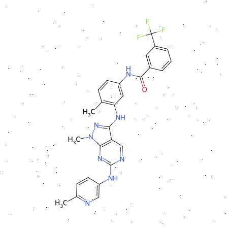 Cc1ccc(Nc2ncc3c(Nc4cc(NC(=O)c5cccc(C(F)(F)F)c5)ccc4C)nn(C)c3n2)cn1